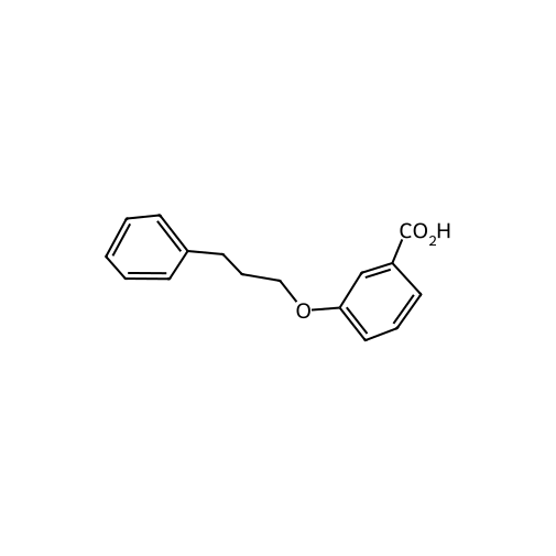 O=C(O)c1cccc(OCCCc2ccccc2)c1